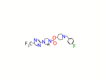 C[C@@H]1CN(c2cnc(C(F)(F)F)cn2)CCN1C(=O)OC1CCN(Cc2ccc(F)cc2)CC1